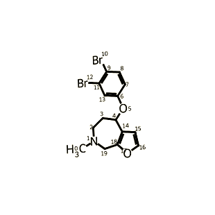 CN1CCC(Oc2ccc(Br)c(Br)c2)c2ccoc2C1